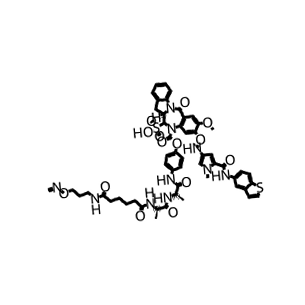 C=NOCCCNC(=O)CCCCC(=O)N[C@H](C)C(=O)N[C@H](C)C(=O)Nc1ccc(OC(=O)N2c3cc(ONc4cc(C(=O)Nc5ccc6sccc6c5)n(C)c4)c(OC)cc3C(=O)N3c4ccccc4C[C@H]3C2S(=O)(=O)O)cc1